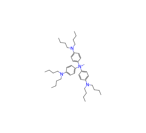 CCCCN(CCCC)c1ccc([N+](C)(c2ccc(N(CCCC)CCCC)cc2)c2ccc(N(CCCC)CCCC)cc2)cc1